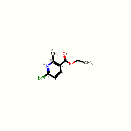 CCOC(=O)c1ccc(Br)nc1C